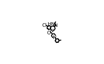 Cc1cccc(N2CCC(C(=O)N3CCc4nc(C)[nH]c4-c4cc(Cl)ccc43)CC2)c1